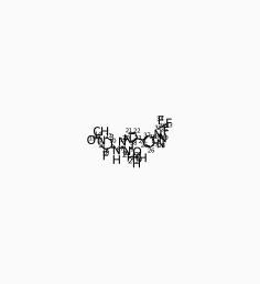 [2H]C([2H])([2H])Oc1nc(N[C@H]2CCN(C(C)=O)C[C@H]2F)nn2ccc(-c3ccc4nnn(CC(F)(F)F)c4c3)c12